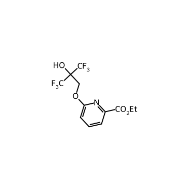 CCOC(=O)c1cccc(OCC(O)(C(F)(F)F)C(F)(F)F)n1